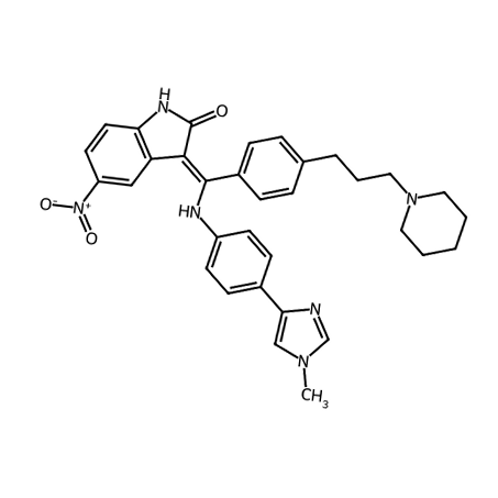 Cn1cnc(-c2ccc(NC(=C3C(=O)Nc4ccc([N+](=O)[O-])cc43)c3ccc(CCCN4CCCCC4)cc3)cc2)c1